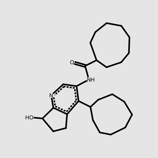 O=C(Nc1cnc2c(c1C1CCCCCCCC1)CCC2O)C1CCCCCCCC1